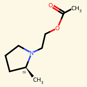 CC(=O)OCCN1CCC[C@@H]1C